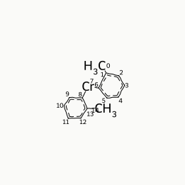 Cc1cccc[c]1[Cr][c]1ccccc1C